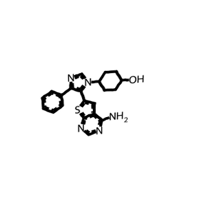 Nc1ncnc2sc(-c3c(-c4ccccc4)ncn3C3CCC(O)CC3)cc12